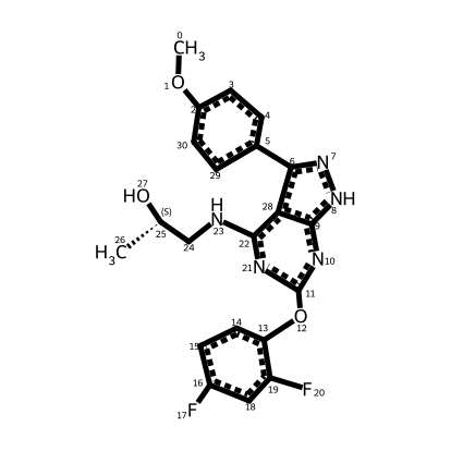 COc1ccc(-c2n[nH]c3nc(Oc4ccc(F)cc4F)nc(NC[C@H](C)O)c23)cc1